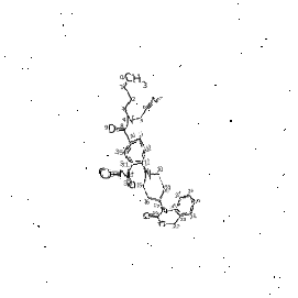 CCCCN(CC#N)C(=O)c1ccc(N2CCC(N3C(=O)OCc4ccccc43)CC2)c([N+](=O)[O-])c1